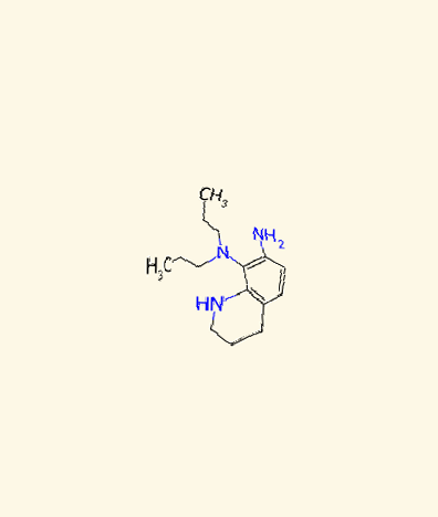 CCCN(CCC)c1c(N)ccc2c1NCCC2